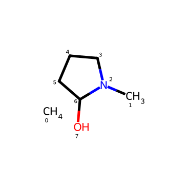 C.CN1CCCC1O